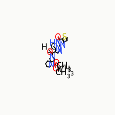 Cc1c(C(=O)N2CCC3(CCCCN3C(=O)OC(C)(C)C)C2)cnn1-c1nc2ccsc2c(=O)[nH]1